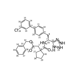 O=C(CC1(C(=O)N[C@@H](Cc2ccc(-c3cccc(Cl)c3)cc2)C2=NNNN2)CCCC1)OCc1ccccc1